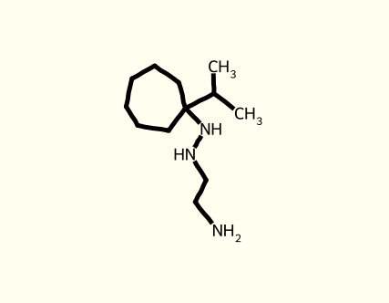 CC(C)C1(NNCCN)CCCCCC1